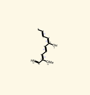 C/C=C/C=C(O)\C=C\C=C(\C=N)OC